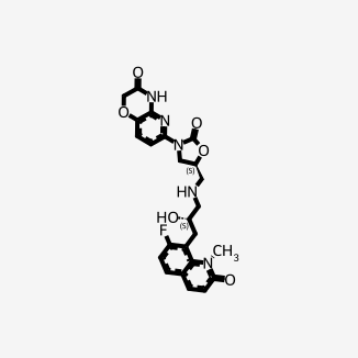 Cn1c(=O)ccc2ccc(F)c(C[C@H](O)CNC[C@H]3CN(c4ccc5c(n4)NC(=O)CO5)C(=O)O3)c21